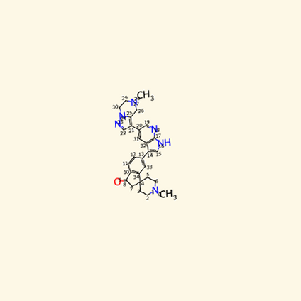 CN1CCC2(CC1)CC(=O)c1ccc(-c3c[nH]c4ncc(-c5cnn6c5CN(C)CC6)cc34)cc12